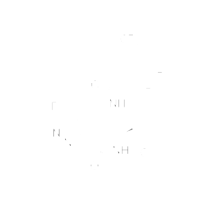 Cn1nc2c3c(c(NC(=O)c4cc(F)cc(C(F)(F)F)c4)cc2c1F)[C@@H](c1cc(F)ccc1Cl)NC3=O